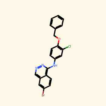 Clc1cc(Nc2nncc3cc(Br)ccc23)ccc1OCc1ccccc1